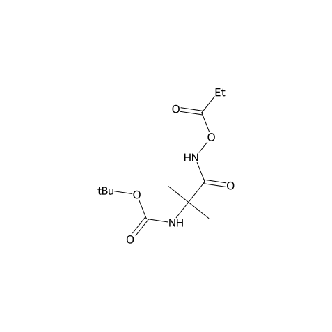 CCC(=O)ONC(=O)C(C)(C)NC(=O)OC(C)(C)C